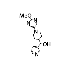 COc1ncc(N2CCC([C@H](O)c3cccnc3)CC2)cn1